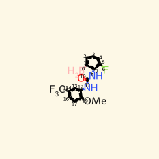 Bc1cccc(F)c1NC(=O)Nc1cc(C(F)(F)F)ccc1OC